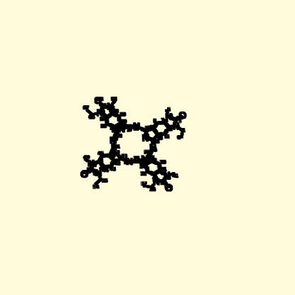 CCn1c(=O)n(C)c2cc3c(cc21)-c1nc-3nc2[nH]c(nc3nc(nc4[nH]c(n1)c1cc5c(cc41)n(CC)c(=O)n5C)-c1cc4c(cc1-3)n(C)c(=O)n4CC)c1cc3c(cc21)n(C)c(=O)n3CC